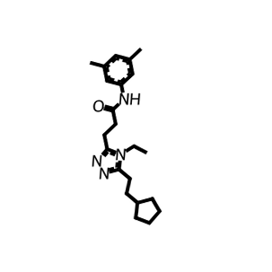 CCn1c(CCC(=O)Nc2cc(C)cc(C)c2)nnc1CCC1CCCC1